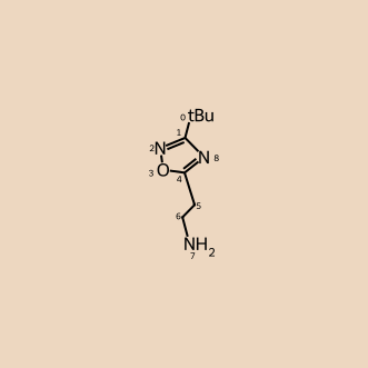 CC(C)(C)c1noc(CCN)n1